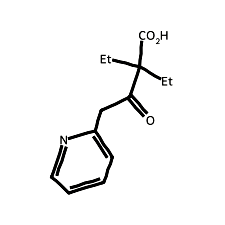 CCC(CC)(C(=O)O)C(=O)Cc1ccccn1